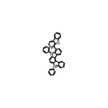 c1ccc(-n2c3ccccc3c3c4c5cccc(-c6nccc7c6sc6ccccc67)c5n(-c5ccccc5)c4ccc32)cc1